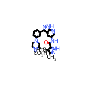 Cc1n[nH]c(C(=O)Nc2cnc3[nH]nc(-c4cccc(N5CCN(C(=O)O)C(C(C)(C)C)C5)c4)c3c2)c1C